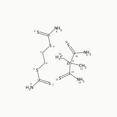 NC(=S)SCCSC(N)=S.[CH3][Zn]([CH3])([C](N)=S)[C](N)=S